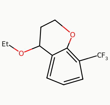 CCOC1CCOc2c1cccc2C(F)(F)F